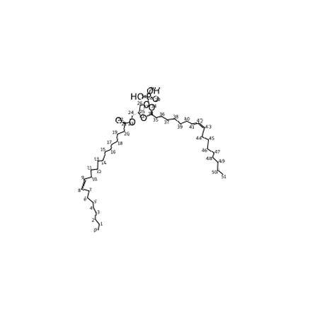 CCCCCCCC/C=C\CCCCCCCCCCCC(=O)OC[C@H](COP(=O)(O)O)OC(=O)CCCCCCC/C=C\CCCCCCCC